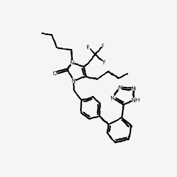 CCCCc1c(C(F)(F)F)n(CCCC)c(=O)n1Cc1ccc(-c2ccccc2-c2nnn[nH]2)cc1